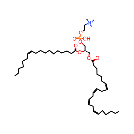 CCCCC/C=C\C/C=C\C/C=C\C/C=C\CCCCCC(=O)OC[C@H](COP(=O)(O)OCC[N+](C)(C)C)OC(=O)CCCCCCCCC/C=C\CCCCCC